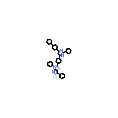 c1ccc(-c2ccc(-c3cc(-c4ccc(-c5nc6c(-c7ccccc7)[nH]nc6n5-c5ccccc5)cc4)nc(-c4ccccc4)n3)cc2)cc1